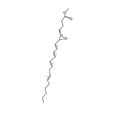 CCCCC/C=C/C/C=C/C=C/C=C/C1O[C@@H]1CCCC(=O)OC